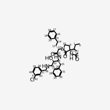 CCC(C)[C@@]1(NC(C)=O)CCN([C@@H](CCc2ccccc2)C(=O)N[C@@H](Cc2ccccc2)[C@H](O)CNCc2cccc(Cl)c2)C1=O